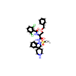 CS(=O)(=O)[N+]1(NC(=O)C(COCc2ccccc2)NC(=O)c2c(Cl)cccc2Cl)CC2(CCNCC2)c2ccccc21